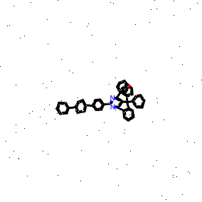 c1ccc(-c2ccc(-c3ccc(-c4nc(-c5ccccc5)c5c(n4)-c4ccccc4C5(c4ccccc4)c4ccccc4)cc3)cc2)cc1